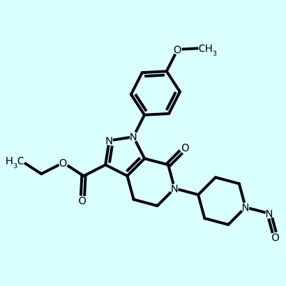 CCOC(=O)c1nn(-c2ccc(OC)cc2)c2c1CCN(C1CCN(N=O)CC1)C2=O